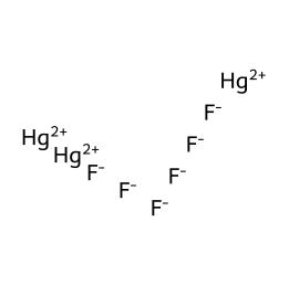 [F-].[F-].[F-].[F-].[F-].[F-].[Hg+2].[Hg+2].[Hg+2]